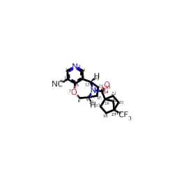 N#Cc1cncc2c1OC[C@H]1CC[C@@H]2N1C(=O)C12CCC(C(F)(F)F)(CC1)C2